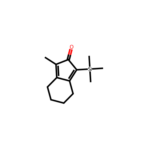 CC1=C2CCCCC2=C([Si](C)(C)C)C1=O